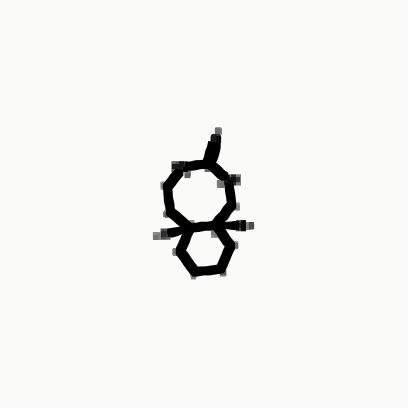 O=C1NCC[C@H]2CCCC[C@H]2CN1